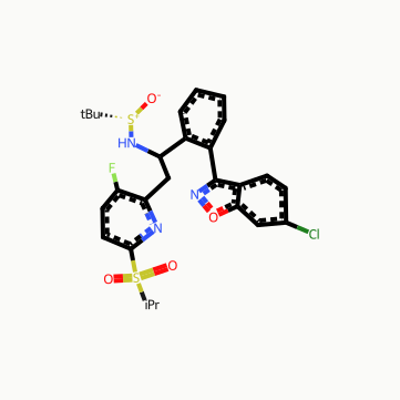 CC(C)S(=O)(=O)c1ccc(F)c(CC(N[S@@+]([O-])C(C)(C)C)c2ccccc2-c2noc3cc(Cl)ccc23)n1